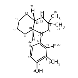 Cc1c(O)ccc(N2CC(C)(C)N[C@H]3CCCC[C@H]32)c1F